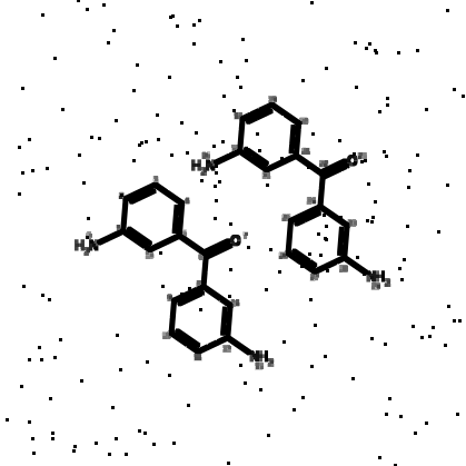 Nc1cccc(C(=O)c2cccc(N)c2)c1.Nc1cccc(C(=O)c2cccc(N)c2)c1